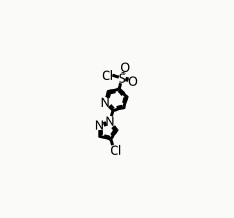 O=S(=O)(Cl)c1ccc(-n2cc(Cl)cn2)nc1